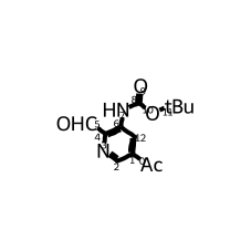 CC(=O)c1cnc(C=O)c(NC(=O)OC(C)(C)C)c1